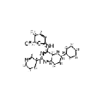 FC1C=C[C@H](NC2=NC(C3C=NCCC3)NC3CCC(C4CCCCC4)CC23)CC1Cl